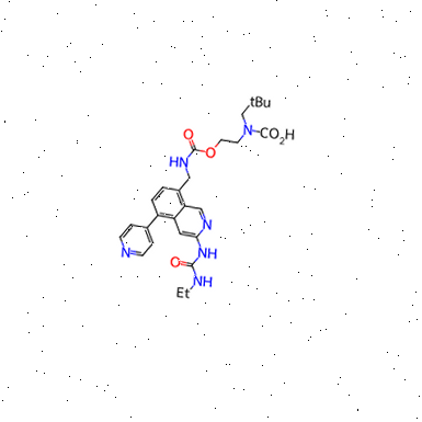 CCNC(=O)Nc1cc2c(-c3ccncc3)ccc(CNC(=O)OCCN(CC(C)(C)C)C(=O)O)c2cn1